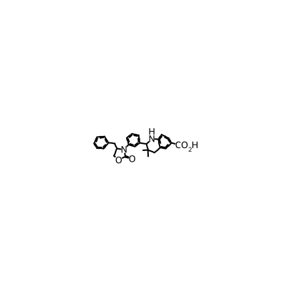 CC1(C)Cc2cc(C(=O)O)ccc2NC1c1cccc(N2C(=O)OCC2Cc2ccccc2)c1